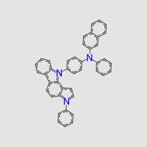 c1ccc(N(c2ccc(-n3c4ccccc4c4ccc5c(ccn5-c5ccccc5)c43)cc2)c2ccc3ccccc3c2)cc1